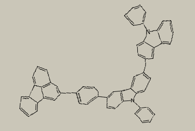 c1ccc(-n2c3ccccc3c3cc(-c4ccc5c(c4)c4cc(-c6ccc(-c7cc8c9c(cccc9c7)-c7ccccc7-8)cc6)ccc4n5-c4ccccc4)ccc32)cc1